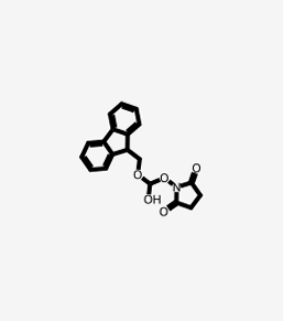 O=C1CCC(=O)N1OC(O)OCC1c2ccccc2-c2ccccc21